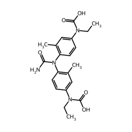 CCN(C(=O)O)c1ccc(N(C(N)=O)c2ccc(N(CC)C(=O)O)cc2C)c(C)c1